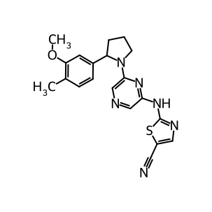 COc1cc(C2CCCN2c2cncc(Nc3ncc(C#N)s3)n2)ccc1C